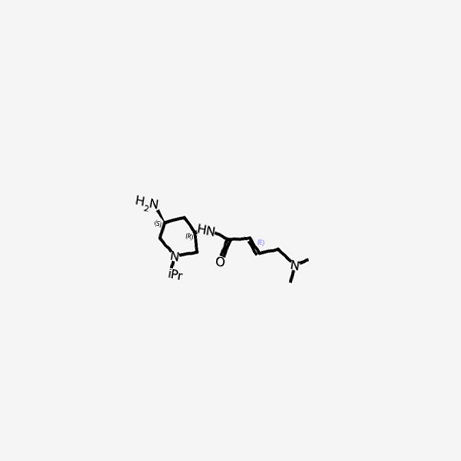 CC(C)N1C[C@@H](N)C[C@@H](NC(=O)/C=C/CN(C)C)C1